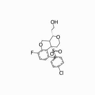 O=S(=O)(c1ccc(Cl)cc1)[C@@]12CCO[C@@H](CCO)C1COc1c(F)ccc(F)c12